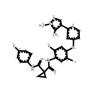 Cc1c(-c2cc(Oc3cc(F)c(NC(=O)C4(C(=O)Nc5ccc(F)cc5)CC4)cc3F)ccn2)cnn1C